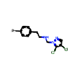 CC(C)c1ccc(CCNCn2ncc(Cl)c2Cl)cc1